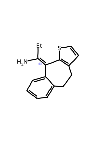 CC/C(N)=C1/c2ccccc2CCc2ccsc21